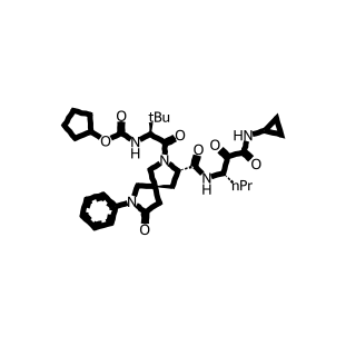 CCC[C@H](NC(=O)[C@@H]1C[C@]2(CC(=O)N(c3ccccc3)C2)CN1C(=O)[C@@H](NC(=O)OC1CCCC1)C(C)(C)C)C(=O)C(=O)NC1CC1